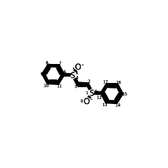 [O-][S+](C=C[S+]([O-])c1ccccc1)c1ccccc1